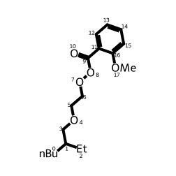 CCCCC(CC)COC[CH]OOC(=O)c1ccccc1OC